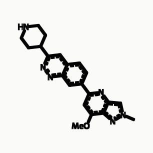 COc1cc(-c2ccc3cc(C4CCNCC4)nnc3c2)nc2cn(C)nc12